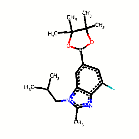 Cc1nc2c(F)cc(B3OC(C)(C)C(C)(C)O3)cc2n1CC(C)C